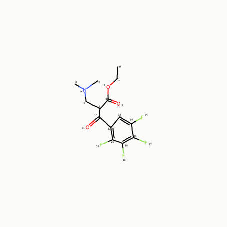 CCOC(=O)C(CN(C)C)C(=O)c1cc(F)c(F)c(F)c1F